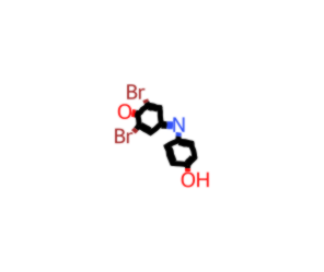 O=C1C(Br)=CC(=Nc2ccc(O)cc2)C=C1Br